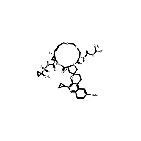 COc1ccc2nc(C3CC3)c3c(c2c1)CC[C@]1(C[C@H]2C(=O)N[C@]4(C(=O)NS(=O)(=O)C5(C)CC5)C[C@H]4/C=C\CCCCC[C@H](NC(=O)O[C@@H](C)C(C)C)C(=O)N2C1)O3